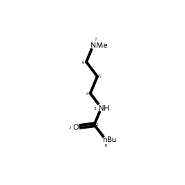 CCCCC(=O)NCCCNC